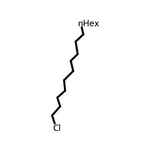 CCCCCCCCCCCCCCCCCl